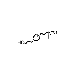 O=CNCCCN1CCN(CCCO)CC1